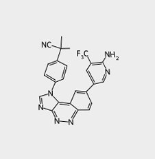 CC(C)(C#N)c1ccc(-n2cnc3nnc4ccc(-c5cnc(N)c(C(F)(F)F)c5)cc4c32)cc1